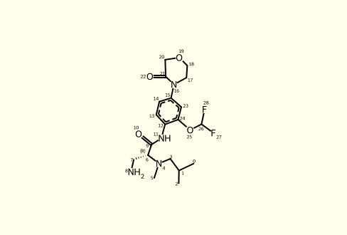 CC(C)CN(C)[C@H](CN)C(=O)Nc1ccc(N2CCOCC2=O)cc1OC(F)F